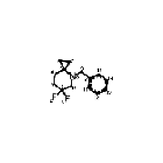 FC1(F)CCC2(CC2)N(Cc2ccccc2)C1